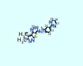 Cc1nnc2sc3c(NCc4cccc(-c5ncccn5)c4)ncnc3c2c1C